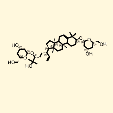 C=C[C@H](CC[C@@H](O[C@H]1C[C@@H](O)C[C@@H](CO)O1)C(C)(C)O)[C@H]1CC[C@@]2(C)C3CC=C4C(CC[C@H](O[C@H]5C[C@@H](O)C[C@@H](CO)O5)C4(C)C)[C@]3(C)CC[C@]12C